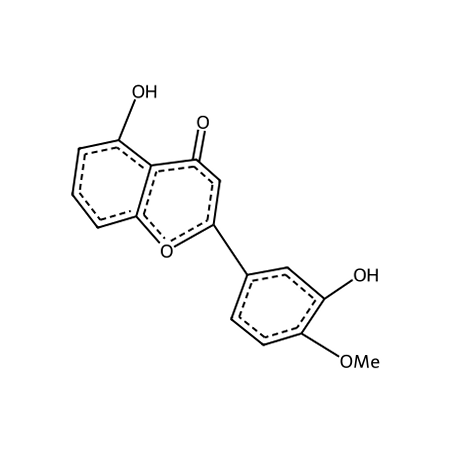 COc1ccc(-c2cc(=O)c3c(O)cccc3o2)cc1O